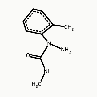 CNC(=O)N(N)c1ccccc1C